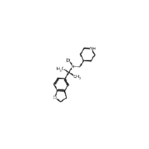 CCN(CC1CCNCC1)C(C)(C)c1ccc2c(c1)CCO2